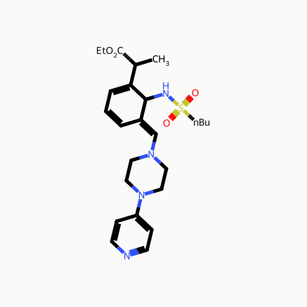 CCCCS(=O)(=O)NC1C(=CN2CCN(c3ccncc3)CC2)C=CC=C1C(C)C(=O)OCC